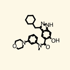 CN(C(=O)c1cc2c(CC3CCCCC3)n[nH]c2cc1O)c1cccc(N2CCOCC2)c1